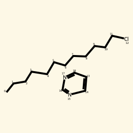 CCCCCCCCCCCCCl.c1cncnc1